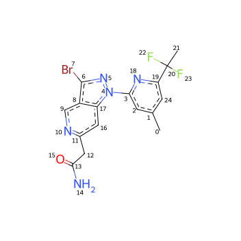 Cc1cc(-n2nc(Br)c3cnc(CC(N)=O)cc32)nc(C(C)(F)F)c1